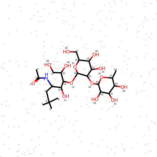 CC(=O)NC(CC(C)(C)C)C(O)C(OC1OC(CO)C(O)C(O)C1OC1OC(C)C(O)C(O)C1O)C(O)CO